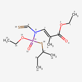 CCOC(=O)C(C)=CN(C=S)P(=O)(OCC)SC(C)CC